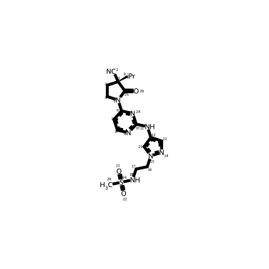 CC(C)[C@]1(C#N)CCN(c2ccnc(Nc3cnn(CCNS(C)(=O)=O)c3)n2)C1=O